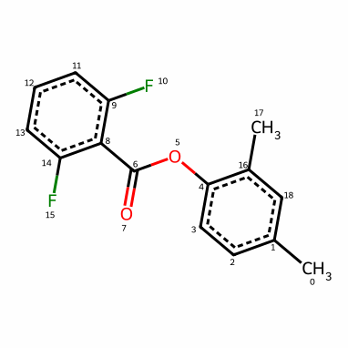 Cc1ccc(OC(=O)c2c(F)cccc2F)c(C)c1